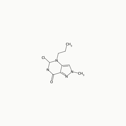 CCCN1c2cn(C)nc2C(=O)[N]C1Cl